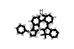 CC1(C)c2ccccc2-c2c1n1c3ccn(-c4ccccc4)c3c3ccc4[nH]c5cccc2c5c4c31